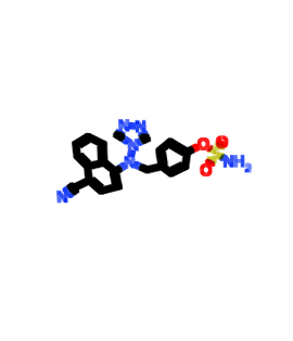 N#Cc1ccc(N(Cc2ccc(OS(N)(=O)=O)cc2)n2cnnc2)c2ccccc12